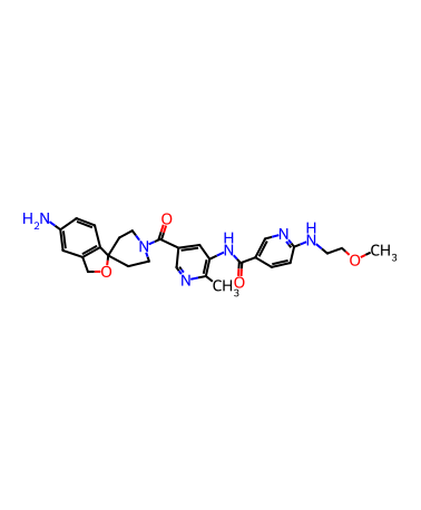 COCCNc1ccc(C(=O)Nc2cc(C(=O)N3CCC4(CC3)OCc3cc(N)ccc34)cnc2C)cn1